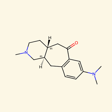 CN1CC[C@@H]2CC(=O)c3cc(N(C)C)ccc3C[C@H]2C1